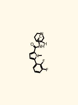 Cn1c(C(=O)N[C@H]2CN3CCC2CC3)ccc1-c1cccc(F)c1F